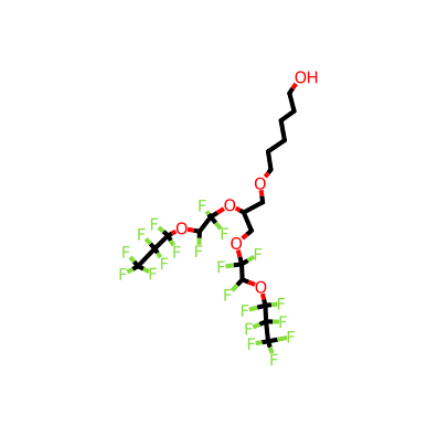 OCCCCCCOCC(COC(F)(F)C(F)OC(F)(F)C(F)(F)C(F)(F)F)OC(F)(F)C(F)OC(F)(F)C(F)(F)C(F)(F)F